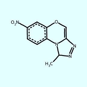 CC1N=NC2=COc3cc([N+](=O)[O-])ccc3N21